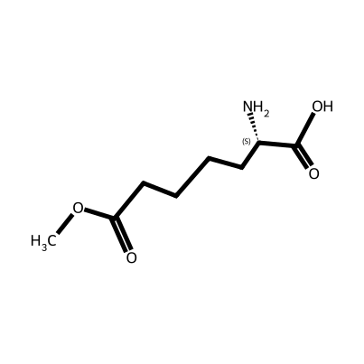 COC(=O)CCCC[C@H](N)C(=O)O